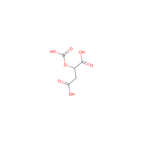 O=C(O)CC(O[Si](=O)O)C(=O)O